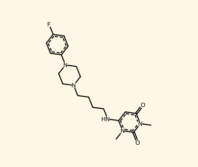 Cn1c(NCCCCN2CCN(c3ccc(F)cc3)CC2)cc(=O)n(C)c1=O